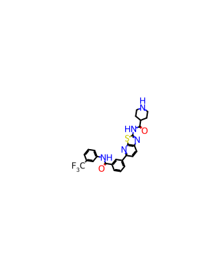 O=C(Nc1cccc(C(F)(F)F)c1)c1cccc(-c2ccc3nc(NC(=O)C4CCNCC4)sc3n2)c1